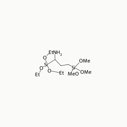 CCO[Si](OCC)(OCC)C(N)CC[Si](OC)(OC)OC